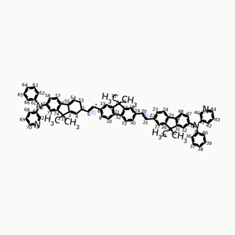 CC1(C)C2=CC(/C=C/c3ccc4c(c3)C(C)(C)c3cc(/C=C/c5ccc6c(c5)C(C)(C)c5cc(N(c7ccccc7)c7cccnc7)ccc5-6)ccc3-4)CC=C2c2ccc(N(c3ccccc3)c3cccnc3)cc21